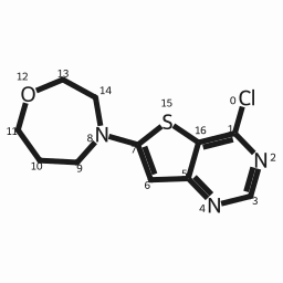 Clc1ncnc2cc(N3CCCOCC3)sc12